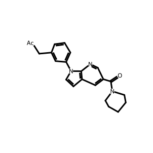 CC(=O)Cc1cccc(-n2ccc3cc(C(=O)N4CCCCC4)cnc32)c1